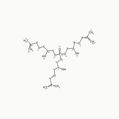 C=C(C)COCC(O)COP(=O)(OCC(O)COCC(=C)C)OCC(O)COCC(=C)C